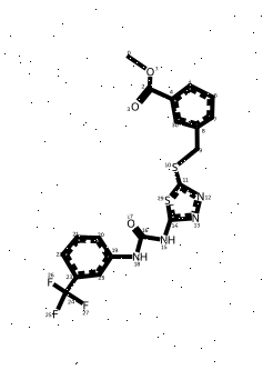 COC(=O)c1cccc(CSc2nnc(NC(=O)Nc3cccc(C(F)(F)F)c3)s2)c1